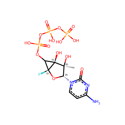 C[C@]1(O)[C@H](n2ccc(N)nc2=O)O[C@]2(F)C(OP(=O)(O)OP(=O)(O)OP(=O)(O)O)[C@]12O